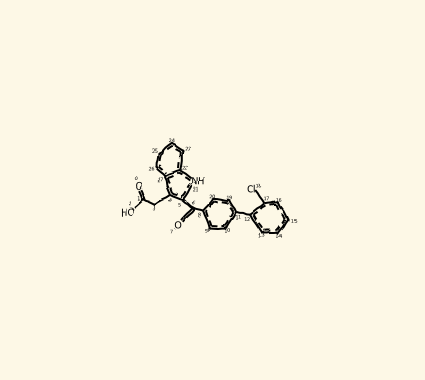 O=C(O)Cc1c(C(=O)c2ccc(-c3ccccc3Cl)cc2)[nH]c2ccccc12